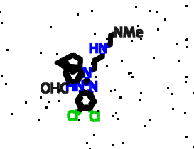 CNCCNCCCN(c1nc2cc(Cl)c(Cl)cc2[nH]1)[C@@H]1CC[C@]2(C3C=C(C=O)C=CC3)CC2C1